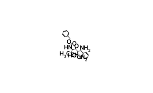 [CH2]C(O)C(C(=O)[C@@H](NC(=O)OCc1ccccc1)C(C)C)C(N)c1ccccc1